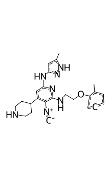 [C-]#[N+]c1c(C2CCNCC2)cc(Nc2cc(C)[nH]n2)nc1NCCOc1ccccc1C